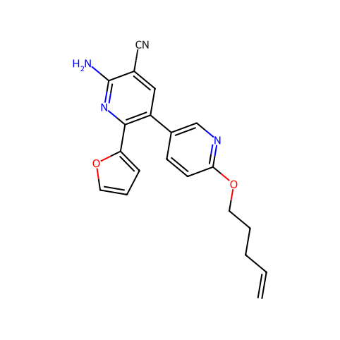 C=CCCCOc1ccc(-c2cc(C#N)c(N)nc2-c2ccco2)cn1